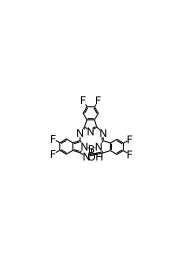 OB1n2c3c4cc(F)c(F)cc4c2/N=C2N=C(/N=c4/c5cc(F)c(F)cc5c(n41)=N3)c1cc(F)c(F)cc1\2